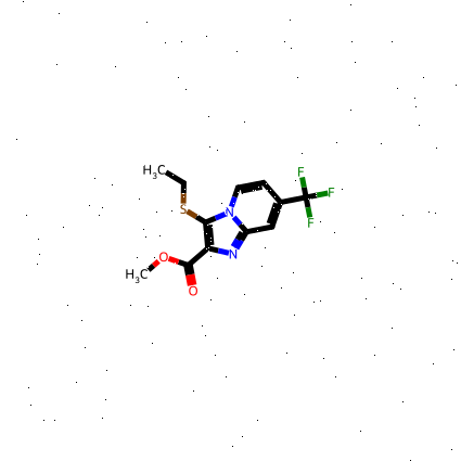 CCSc1c(C(=O)OC)nc2cc(C(F)(F)F)ccn12